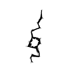 CCCC[CH]c1ccc(CCC)cc1